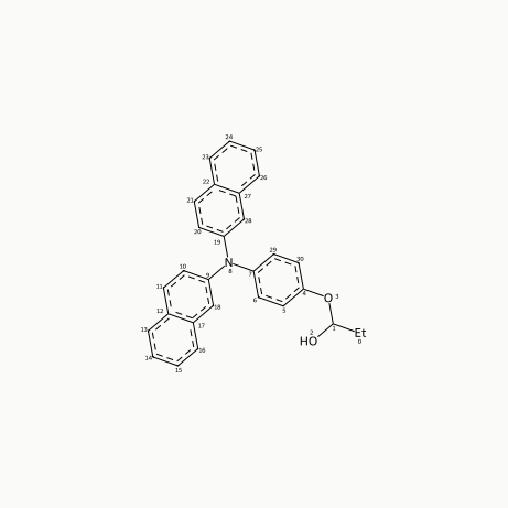 CCC(O)Oc1ccc(N(c2ccc3ccccc3c2)c2ccc3ccccc3c2)cc1